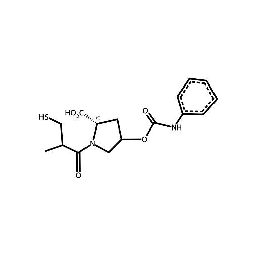 CC(CS)C(=O)N1CC(OC(=O)Nc2ccccc2)C[C@H]1C(=O)O